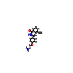 CN(C)CCOc1ccc(-c2cc3c(C#N)cccc3c(=O)[nH]2)cc1